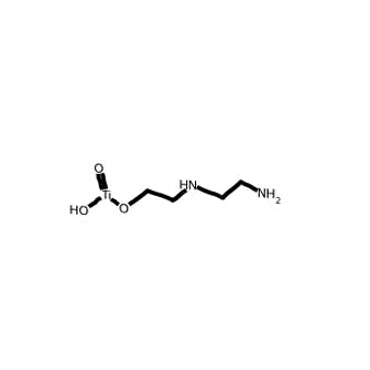 NCCNCC[O][Ti](=[O])[OH]